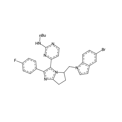 CCCCNc1nccc(-c2c(-c3ccc(F)cc3)nc3n2C(Cn2ccc4cc(Br)ccc42)CC3)n1